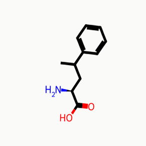 CC(C[C@H](N)C(=O)O)c1ccccc1